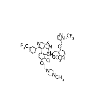 Cc1c(-c2c(-c3cccc(C(F)(F)F)c3)ncc3snc(O[C@H](Cc4ccccc4OCc4ccnn4CC(F)(F)F)C(=O)O)c23)ccc(OCCN2CCN(C)CC2)c1Cl